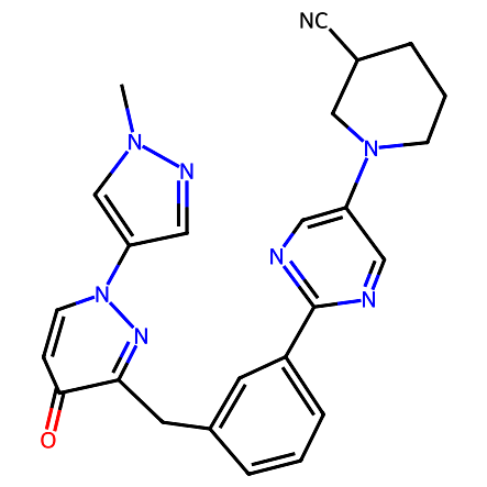 Cn1cc(-n2ccc(=O)c(Cc3cccc(-c4ncc(N5CCCC(C#N)C5)cn4)c3)n2)cn1